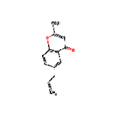 C=CCc1ccc2oc(C(=O)O)cc(=O)c2c1